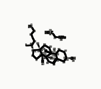 CC(C)CCCC(C)[C@H]1CC[C@H]2[C@@H]3CC=C4C[C@@H](O)CC[C@]4(C)[C@H]3CC[C@]12C.CNCC(=O)O